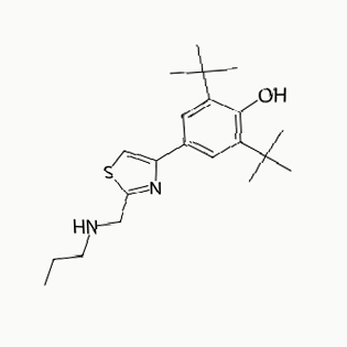 CCCNCc1nc(-c2cc(C(C)(C)C)c(O)c(C(C)(C)C)c2)cs1